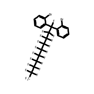 FC(F)(F)C(F)(F)C(F)(F)C(F)(F)C(F)(F)C(F)(F)C(F)(F)C(F)(F)C(F)(F)C(F)(c1ccccc1Br)c1ccccc1Br